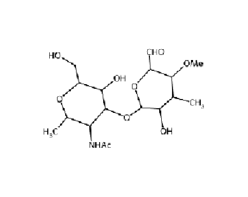 COC1C(C=O)OC(OC2C(O)C(CO)OC(C)C2NC(C)=O)C(O)C1C